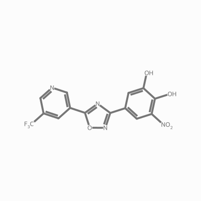 O=[N+]([O-])c1cc(-c2noc(-c3cncc(C(F)(F)F)c3)n2)cc(O)c1O